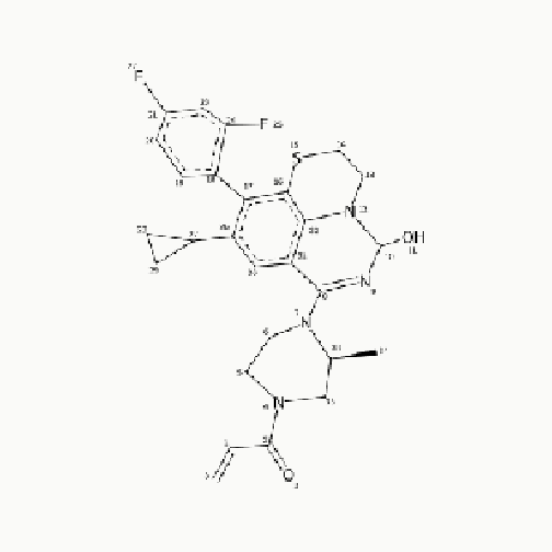 C=CC(=O)N1CCN(C2=NC(O)N3CCSc4c(-c5ccc(F)cc5F)c(C5CC5)cc2c43)[C@@H](C)C1